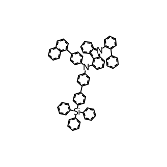 c1ccc(-c2ccccc2-n2c3ccccc3c3c(N(c4ccc(-c5ccc([Si](c6ccccc6)(c6ccccc6)c6ccccc6)cc5)cc4)c4ccc(-c5cccc6ccccc56)cc4)cccc32)cc1